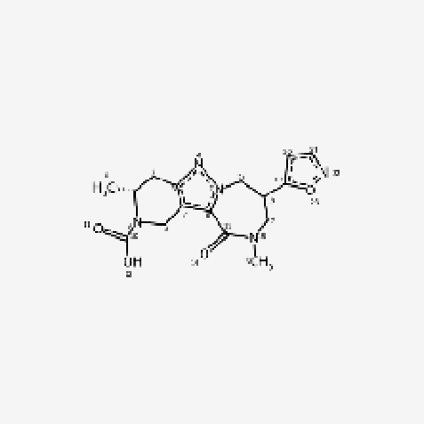 C[C@@H]1Cc2nn3c(c2CN1C(=O)O)C(=O)N(C)CC(c1ccno1)C3